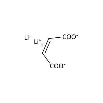 O=C([O-])/C=C\C(=O)[O-].[Li+].[Li+]